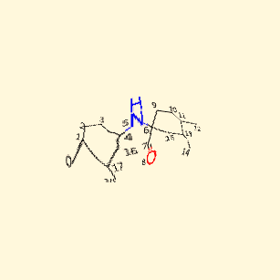 CC1CCC(NC2(C=O)CCC(C)C(C)C2)CC1C